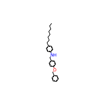 CCCCCCCCc1ccc(NCc2ccc(OCc3ccccc3)cc2)cc1